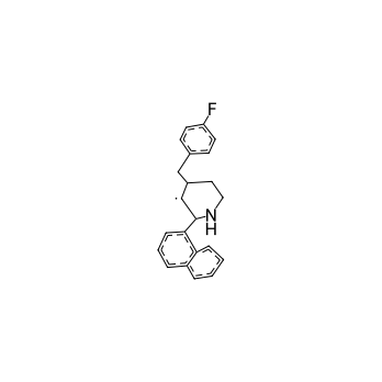 Fc1ccc(CC2[CH]C(c3cccc4ccccc34)NCC2)cc1